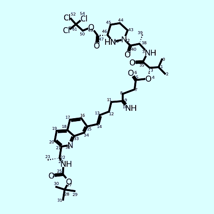 CC(C)[C@H](OC(=O)CCC(=N)CC/C=C/c1ccc2ccc([C@@H](C)NC(=O)OC(C)(C)C)nc2c1)C(=O)N[C@@H](C)C(=O)N1CCC[C@@H](C(=O)OCC(Cl)(Cl)Cl)N1